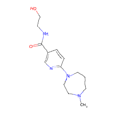 CN1CCCN(c2ccc(C(=O)NCCO)cn2)CC1